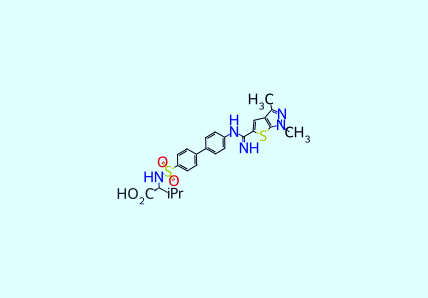 Cc1nn(C)c2sc(C(=N)Nc3ccc(-c4ccc(S(=O)(=O)N[C@H](C(=O)O)C(C)C)cc4)cc3)cc12